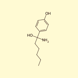 CCCCCC(N)(O)c1ccc(O)cc1